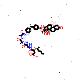 CCCCC(C)SC(CC(=O)O)C(=O)NCCC(=O)N[C@@H](C)C(=O)N[C@@H](C)C(=O)Nc1ccc([C@H](C)c2ccc([C@@H]3O[C@@H]4CC5[C@@H]6CCC7=CC(=O)C=C[C@]7(C)[C@@]6(F)[C@@H](O)C[C@]5(C)[C@]4(C(=O)CO)O3)cc2)cc1